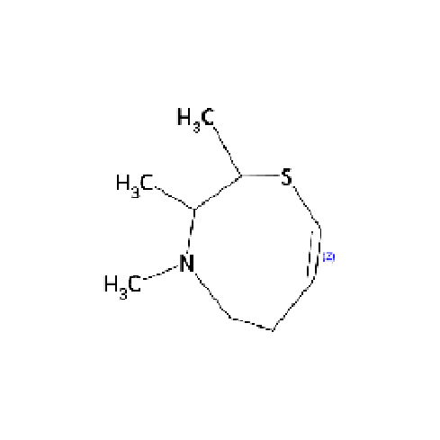 CC1S/C=C\CCN(C)C1C